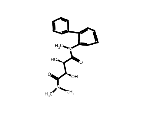 CN(C)C(=O)[C@H](O)[C@@H](O)C(=O)N(C)c1ccccc1-c1ccccc1